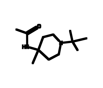 CC(=O)NC1(C)CCN(C(C)(C)C)CC1